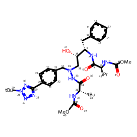 COC(=O)N[C@H](C(=O)N[C@@H](Cc1ccccc1)[C@@H](O)CN(Cc1ccc(-c2nnn(C(C)(C)C)n2)cc1)NC(=O)[C@@H](NC(=O)OC)C(C)(C)C)C(C)C